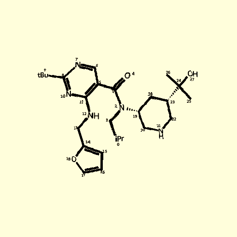 CC(C)CN(C(=O)c1cnc(C(C)(C)C)nc1NCc1ccco1)[C@H]1CNC[C@@H](C(C)(C)O)C1